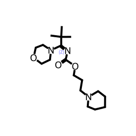 CC(C)(C)/C(=N/C(=O)OCCCN1CCCCC1)N1CCOCC1